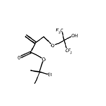 C=C(COC(O)(C(F)(F)F)C(F)(F)F)C(=O)OC(C)(C)CC